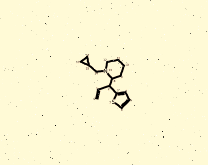 C=CC(c1cccs1)C1CCCCN1CC1CC1